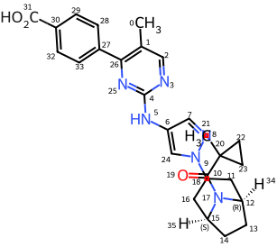 Cc1cnc(Nc2cnn(C3C[C@H]4CC[C@@H](C3)N4C(=O)C3(C)CC3)c2)nc1-c1ccc(C(=O)O)cc1